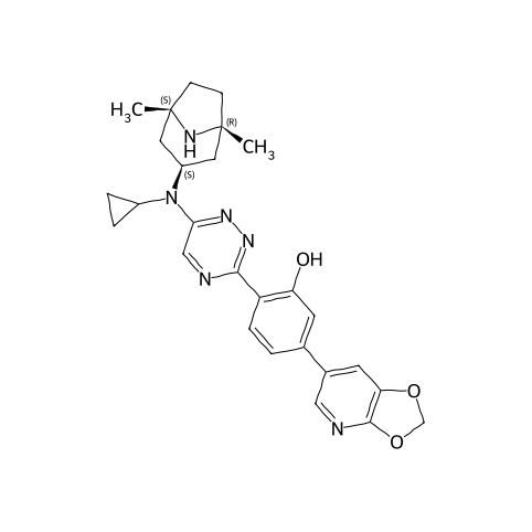 C[C@]12CC[C@](C)(C[C@@H](N(c3cnc(-c4ccc(-c5cnc6c(c5)OCO6)cc4O)nn3)C3CC3)C1)N2